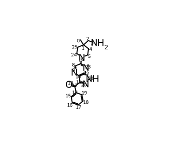 CC1(CN)CCN(c2cnc3c(C(=O)c4ccccc4)n[nH]c3n2)CC1